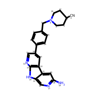 N#CC1CCN(Cc2ccc(-c3cnc4[nH]c5cnc(N)cc5c4c3)cc2)CC1